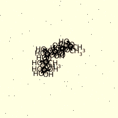 CC1[C@H](C)OC(CO)[C@@H](O[C@@H]2OC(CO)[C@@H](O[C@@H]3OC(CO)[C@@H](O)C(O[C@H]4O[C@H](CO)[C@@H](O)C(O)C4O[C@@H]4OC(CO)[C@@H](O[C@@H]5OC(CO)[C@H](O)C(O)[C@@H]5O)C(O)[C@@H]4C)[C@H]3O)C(O)[C@@H]2C)[C@@H]1O